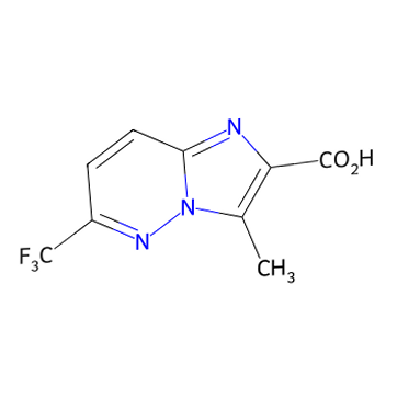 Cc1c(C(=O)O)nc2ccc(C(F)(F)F)nn12